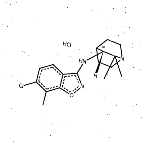 Cc1c(Cl)ccc2c(N[C@@H]3C4CCN(CC4)C3(C)C)noc12.Cl